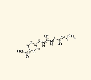 CCOC(=O)CNC(=O)NC[C@H]1CC[C@H](C(=O)O)CC1